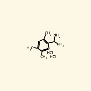 Cc1cc(C)c(C(N)N)cc1C.Cl.Cl